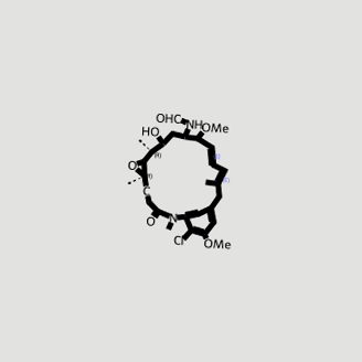 COc1cc2cc(c1Cl)N(C)C(=O)CC[C@@]1(C)OC1[C@H](C)C(O)CC(NC=O)C(OC)/C=C/C=C(\C)C2